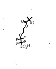 CCC(C)(C)C(=O)OCCOC(F)(F)C(F)(F)S(=O)(=O)O